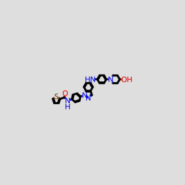 O=C(Nc1ccc(-n2ncc3cc(Nc4ccc(N5CCC(O)CC5)cc4)ccc32)cc1)c1cccs1